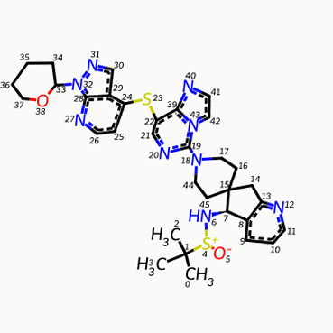 CC(C)(C)[S+]([O-])N[C@@H]1c2cccnc2CC12CCN(c1ncc(Sc3ccnc4c3cnn4C3CCCCO3)c3nccn13)CC2